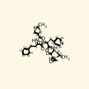 Cc1ncc(C(=O)NC(CCc2ccccc2)C(=O)N[C@@H](Cc2ccncc2)C(=O)N[C@@H](CC(C)C)C(=O)[C@H]2CO2)s1